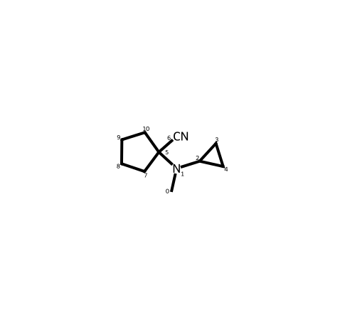 CN(C1CC1)C1(C#N)CCCC1